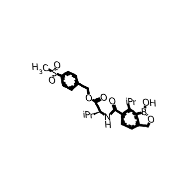 CC(C)c1c(C(=O)N[C@H](C(=O)OCc2ccc(S(C)(=O)=O)cc2)C(C)C)ccc2c1B(O)OC2